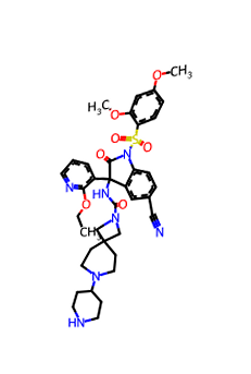 CCOc1ncccc1C1(NC(=O)N2CC3(CCN(C4CCNCC4)CC3)C2)C(=O)N(S(=O)(=O)c2ccc(OC)cc2OC)c2ccc(C#N)cc21